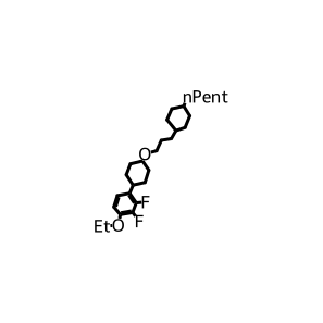 CCCCCC1CCC(CCCOC2CCC(c3ccc(OCC)c(F)c3F)CC2)CC1